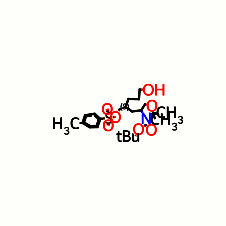 Cc1ccc(S(=O)(=O)OC[C@@H](CCCO)CC2COC(C)(C)N2C(=O)OC(C)(C)C)cc1